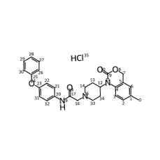 Cc1ccc2c(c1)COC(=O)N2C1CCN(CC(=O)Nc2ccc(Oc3ccccc3)cc2)CC1.Cl